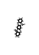 Cn1c2ccccc2sc2cc3c(cc21)sc1ccccc1n3C